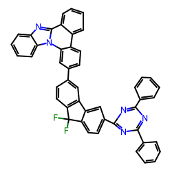 FC1(F)c2ccc(-c3ccc4c5ccccc5c5nc6ccccc6n5c4c3)cc2-c2cc(-c3nc(-c4ccccc4)nc(-c4ccccc4)n3)ccc21